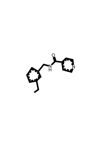 CCc1cccc(CNC(=O)c2ccncc2)c1